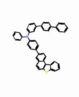 c1ccc(-c2ccc(-c3cccc(N(c4ccccc4)c4ccc(-c5ccc6c(ccc7sc8ccccc8c76)c5)cc4)c3)cc2)cc1